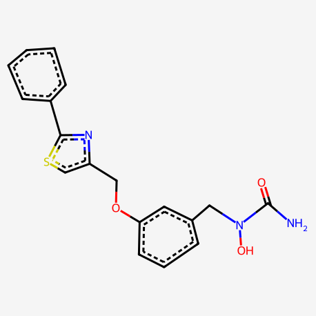 NC(=O)N(O)Cc1cccc(OCc2csc(-c3ccccc3)n2)c1